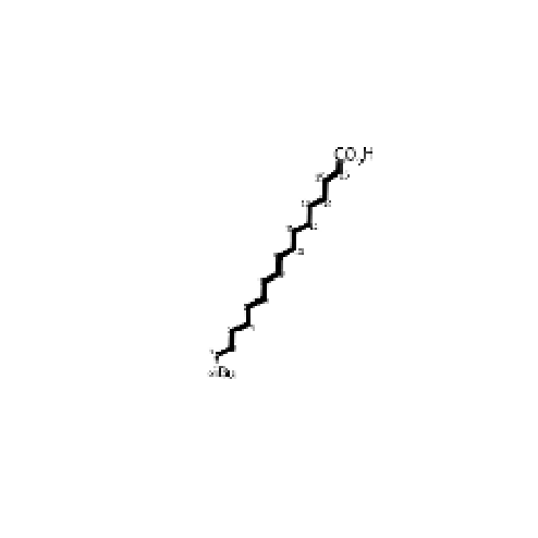 CC[C@@H](C)CCCCCCCCCCCCCCCCC(=O)O